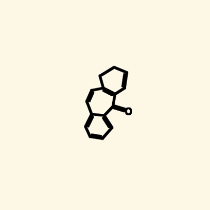 O=c1c2c(ccc3ccccc13)CCC=C2